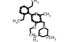 CCOc1cc(-c2c(CC)cccc2CC)nc(C)c1CN1C[C@@H](C)C[C@H](C)C1